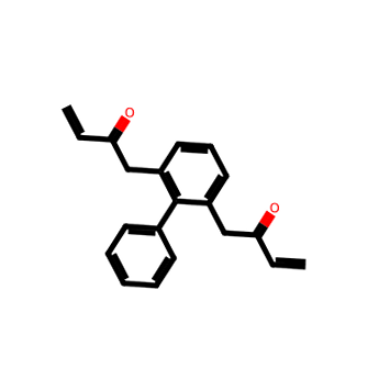 C=CC(=O)Cc1cccc(CC(=O)C=C)c1-c1ccccc1